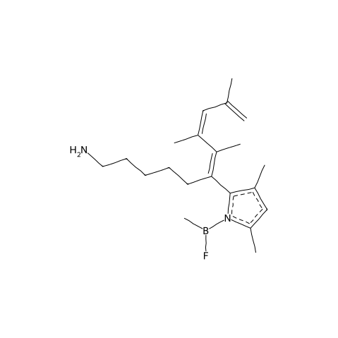 C=C(C)/C=C(C)\C(C)=C(/CCCCCN)c1c(C)cc(C)n1B(C)F